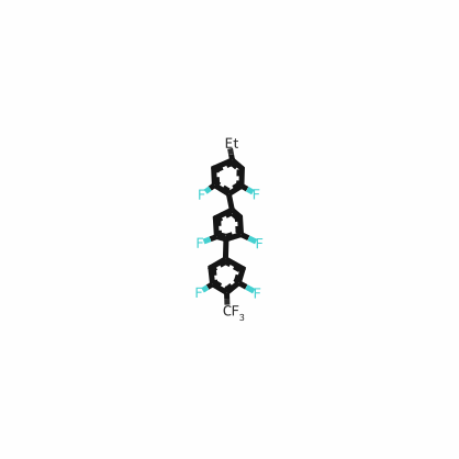 CCc1cc(F)c(-c2cc(F)c(-c3cc(F)c(C(F)(F)F)c(F)c3)c(F)c2)c(F)c1